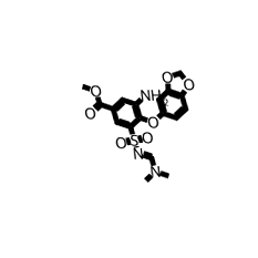 COC(=O)c1cc(N)c(Oc2ccc3c(c2)OCO3)c(S(=O)(=O)N=CN(C)C)c1